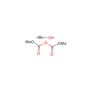 CCCCO.COC(=O)OC(=O)OC